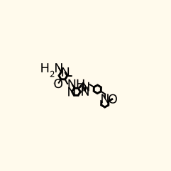 COc1cc(N)nc(C)c1CNc1nccc2nn(Cc3ccc(Cn4ccccc4=O)cc3)cc12